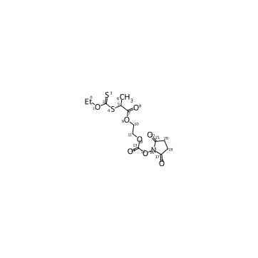 CCOC(=S)SC(C)C(=O)OCCOC(=O)ON1C(=O)CCC1=O